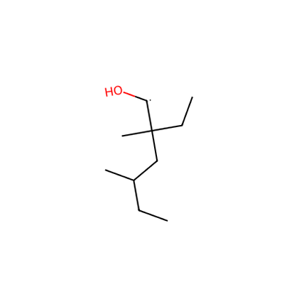 CCC(C)CC(C)([CH]O)CC